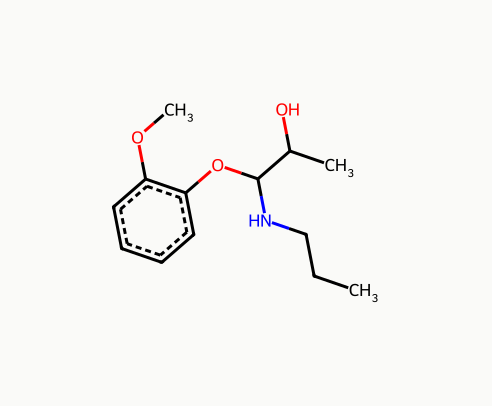 CCCNC(Oc1ccccc1OC)C(C)O